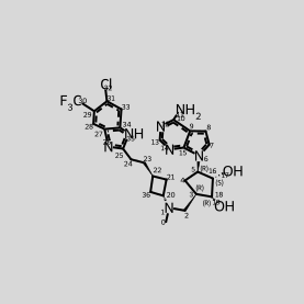 CN(C[C@H]1C[C@@H](n2ccc3c(N)ncnc32)[C@H](O)[C@@H]1O)[C@H]1C[C@H](CCc2nc3cc(C(F)(F)F)c(Cl)cc3[nH]2)C1